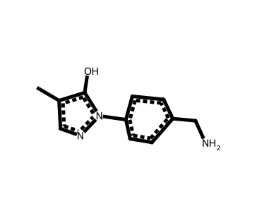 Cc1cnn(-c2ccc(CN)cc2)c1O